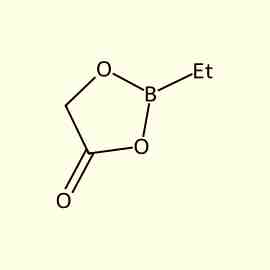 CCB1OCC(=O)O1